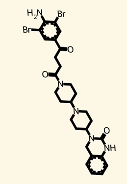 Nc1c(Br)cc(C(=O)CCC(=O)N2CCC(N3CCC(N4Cc5ccccc5NC4=O)CC3)CC2)cc1Br